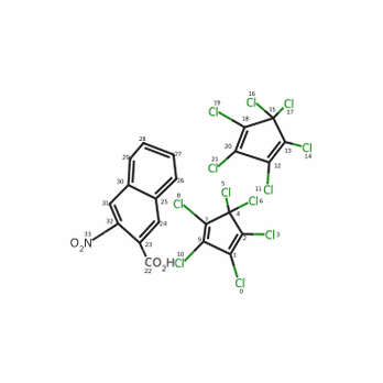 ClC1=C(Cl)C(Cl)(Cl)C(Cl)=C1Cl.ClC1=C(Cl)C(Cl)(Cl)C(Cl)=C1Cl.O=C(O)c1cc2ccccc2cc1[N+](=O)[O-]